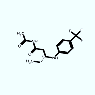 CC[C@H](CC(=O)NC(C)=O)Nc1ccc(C(F)(F)F)cc1